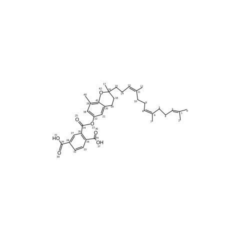 CC(C)=CCCC(C)=CCCC(C)=CCCC1(C)CCc2cc(OC(=O)c3cc(C(=O)O)ccc3C(=O)O)cc(C)c2O1